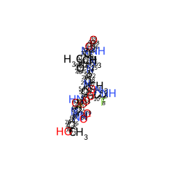 COc1nc2[nH]cc(F)c2cc1Oc1cc(N2CCC3(CC2)CC(N2CCN(Cc4ccnc5c4NCC4(COC4)O5)C[C@H]2c2ccccc2C(C)C)C3)ccc1C(=O)NS(=O)(=O)c1cnc(NCC2CCC(C)(O)CC2)c([N+](=O)[O-])c1